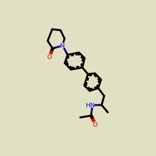 CC(=O)NC(C)Cc1ccc(-c2ccc(N3CCCCC3=O)cc2)cc1